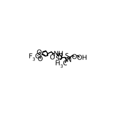 Cc1nc(COCO)sc1-c1csc(NC(=O)Cc2ccc(S(=O)(=O)C(F)(F)F)cc2)n1